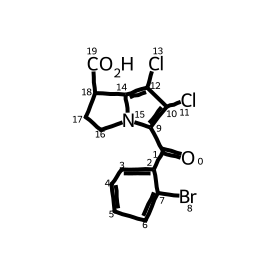 O=C(c1ccccc1Br)c1c(Cl)c(Cl)c2n1CCC2C(=O)O